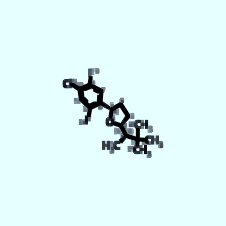 C[C@@H]([C@@H]1CC[C@H](c2cc(F)c(Cl)cc2F)O1)C(C)(C)C